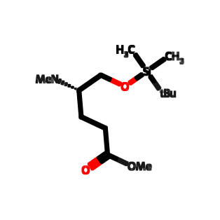 CN[C@@H](CCC(=O)OC)CO[Si](C)(C)C(C)(C)C